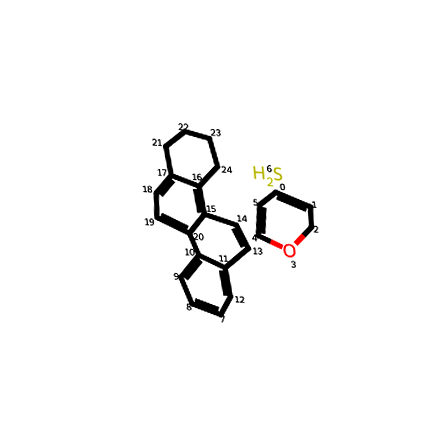 C1=CCOC=C1.S.c1ccc2c(c1)ccc1c3c(ccc12)CCCC3